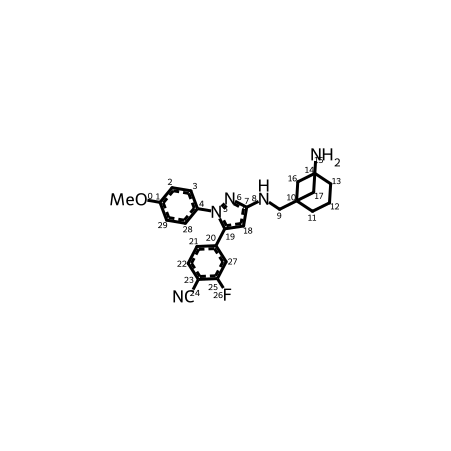 COc1ccc(-n2nc(NCC34CCCC(N)(C3)C4)cc2-c2ccc(C#N)c(F)c2)cc1